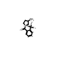 NC1CCN(C(=O)c2ccccc2C(F)(F)F)C1